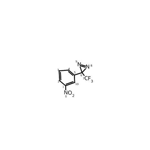 O=[N+]([O-])c1cccc(C2(C(F)(F)F)N=N2)c1